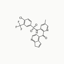 Cc1cnc(C(=O)c2ccnc3c2C=CC3)c(NS(=O)(=O)c2ccc(Cl)c(C(F)(F)F)c2)c1